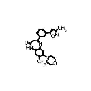 Cc1cc(-c2cccc(C3=Nc4cc(N5CCOCC5)c(C(F)(F)F)cc4NC(=O)C3)c2)on1